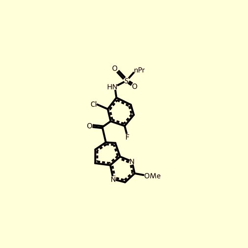 CCCS(=O)(=O)Nc1ccc(F)c(C(=O)c2ccc3ncc(OC)nc3c2)c1Cl